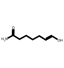 NC(=O)CCCCC=CO